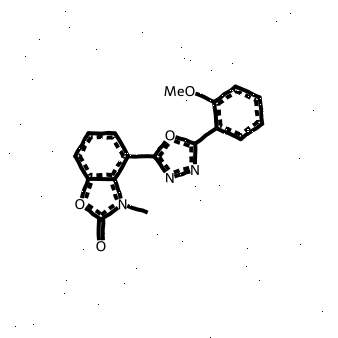 COc1ccccc1-c1nnc(-c2cccc3oc(=O)n(C)c23)o1